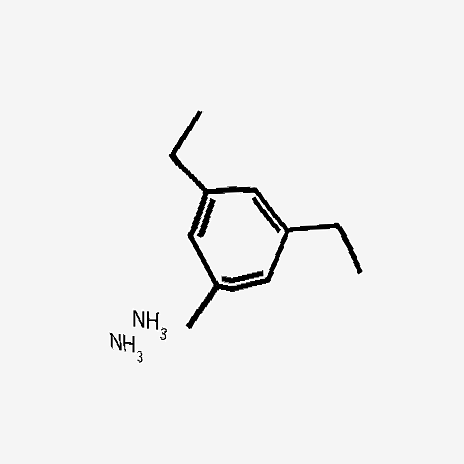 CCc1cc(C)cc(CC)c1.N.N